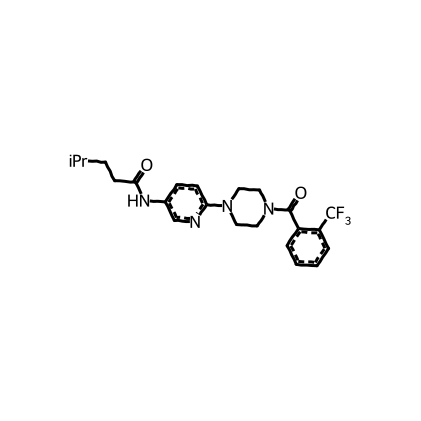 CC(C)CCC(=O)Nc1ccc(N2CCN(C(=O)c3ccccc3C(F)(F)F)CC2)nc1